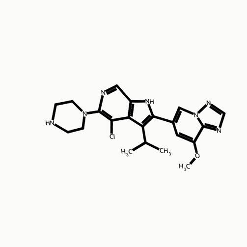 COc1cc(-c2[nH]c3cnc(N4CCNCC4)c(Cl)c3c2C(C)C)cn2ncnc12